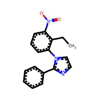 CCc1c(-n2ccnc2-c2ccccc2)cccc1[N+](=O)[O-]